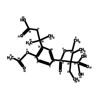 CCOP(=O)(c1ccc(OC(C)=O)c(C(C)(C)CC(=O)O)c1)C(CC)(CC)P(=O)(O)O